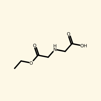 CCOC(=O)CNCC(=O)O